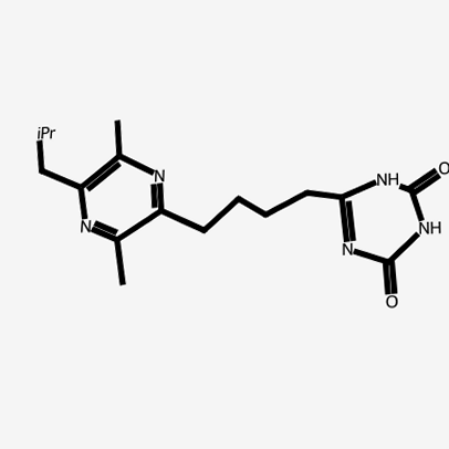 Cc1nc(CC(C)C)c(C)nc1CCCCc1nc(=O)[nH]c(=O)[nH]1